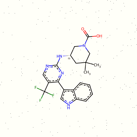 CC1(C)C[C@H](Nc2ncc(C(F)(F)F)c(-c3c[nH]c4ccccc34)n2)CN(C(=O)O)C1